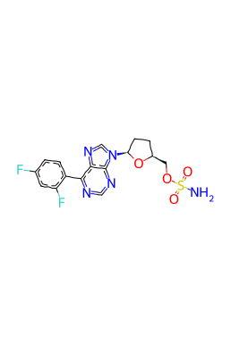 NS(=O)(=O)OC[C@@H]1CC[C@H](n2cnc3c(-c4ccc(F)cc4F)ncnc32)O1